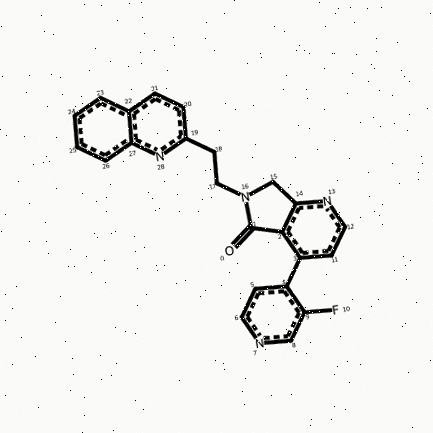 O=C1c2c(-c3ccncc3F)ccnc2CN1CCc1ccc2ccccc2n1